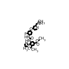 CCOC(=O)c1cc(NC(=O)Nc2ccc(Oc3ccnc(CNC)c3)cc2F)c(-n2cccn2)c(C(C)C)c1